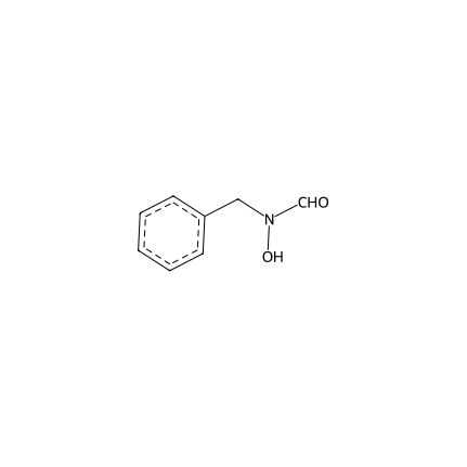 O=CN(O)Cc1ccccc1